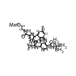 BC(B)(B)NC(=O)c1cnc(NC(=O)C2CC2)cc1Nc1cc(F)cc(-c2csc(C(=O)NCCOC)n2)c1OC